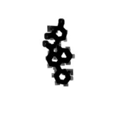 O=C1CCC(N2C(=O)c3ccc(C4CCCCN4)c4cccc2c34)C(=O)N1